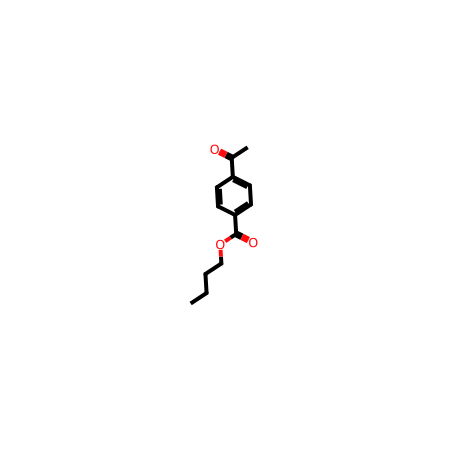 CCCCOC(=O)c1ccc(C(C)=O)cc1